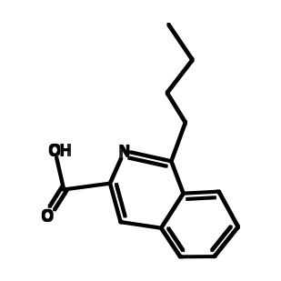 CCCCc1nc(C(=O)O)cc2ccccc12